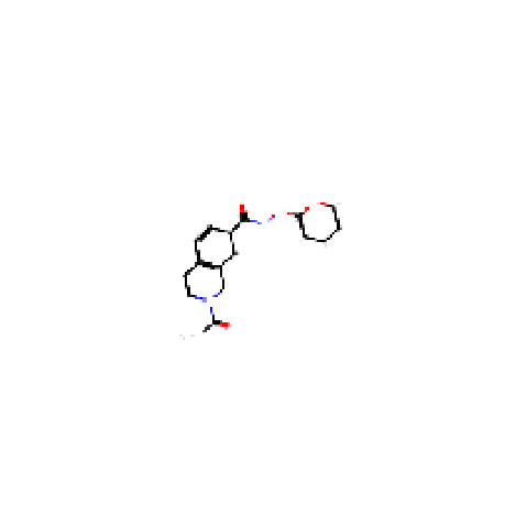 CNC(=O)N1CCC2=C(CC(C(=O)NOC3CCCCO3)C=C2)C1